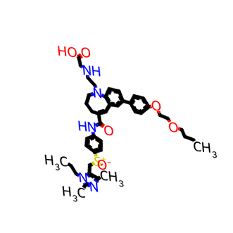 CCCCOCCOc1ccc(-c2ccc3c(c2)/C=C(/C(=O)Nc2ccc([S@@+]([O-])Cc4c(C)nc(C)n4CCC)cc2)CCCN3CCNCC(=O)O)cc1